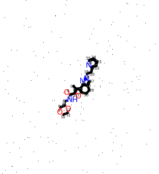 Cc1c(C(=O)NC[C@@H]2COCCO2)oc2c1-c1nn(CCc3ccccn3)cc1CC2